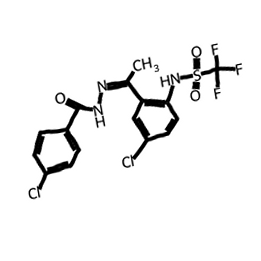 CC(=NNC(=O)c1ccc(Cl)cc1)c1cc(Cl)ccc1NS(=O)(=O)C(F)(F)F